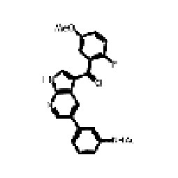 COc1ccc(F)c(C(=O)c2c[nH]c3ncc(-c4cccc(NC(C)=O)c4)cc23)c1